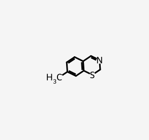 Cc1ccc2c(c1)SCN=C2